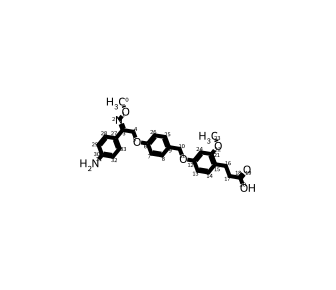 CO/N=C(\COc1ccc(COc2ccc(CCC(=O)O)c(OC)c2)cc1)c1ccc(N)cc1